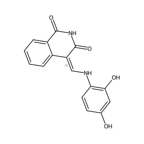 O=C1NC(=O)c2ccccc2/C1=C/Nc1ccc(O)cc1O